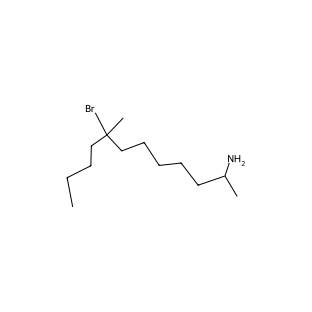 CCCCC(C)(Br)CCCCCC(C)N